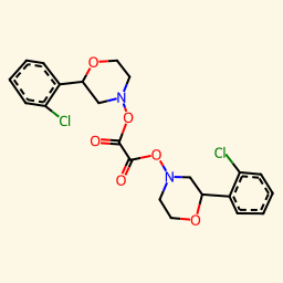 O=C(ON1CCOC(c2ccccc2Cl)C1)C(=O)ON1CCOC(c2ccccc2Cl)C1